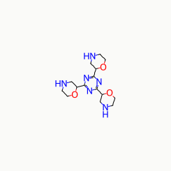 C1COC(c2nc(C3CNCCO3)nc(C3CNCCO3)n2)CN1